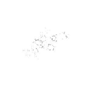 BC(B)(B)NC(=O)c1nnc(NC(=O)C2CC2)cc1Nc1cccc(-c2noc(CCS(C)(=O)=O)n2)c1OC